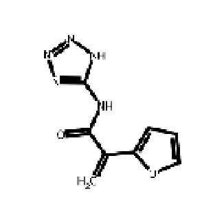 C=C(C(=O)Nc1nnn[nH]1)c1ccco1